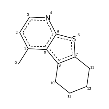 Cc1ccnc2sc3c(c12)CCCC3